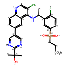 CC(Nc1c(Cl)cnc2ccc(-c3cnc(C(C)(C)O)nc3)cc12)c1cc(S(=O)(=O)CCC(=O)O)ccc1F